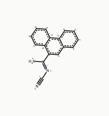 N#C/N=C(\N)c1cc2ccccc2c2ccccc12